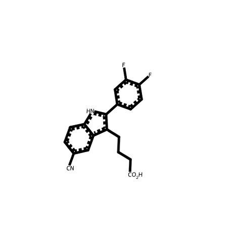 N#Cc1ccc2[nH]c(-c3ccc(F)c(F)c3)c(CCCC(=O)O)c2c1